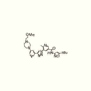 COCCN1CCCN(c2cncc(-c3cn(-c4cc(C(=O)Nc5cc(C(C)(C)C)on5)cnc4C)nn3)c2)CC1